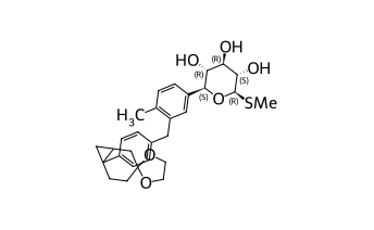 CS[C@H]1O[C@@H](c2ccc(C)c(Cc3ccc(C45CCC6(CC4C5)OCCO6)cc3)c2)[C@H](O)[C@@H](O)[C@@H]1O